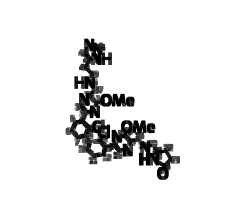 COc1nc(-c2cccc(-c3cccc(-c4cnc(CNC[C@@H]5CCC(=O)N5)c(OC)n4)c3Cl)c2Cl)cnc1CNCCc1cnn[nH]1